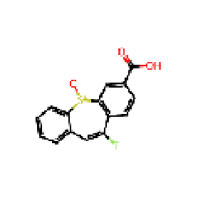 O=C(O)c1ccc2c(c1)[S+]([O-])c1ccccc1C=C2F